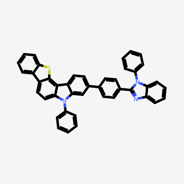 c1ccc(-n2c(-c3ccc(-c4ccc5c6c7sc8ccccc8c7ccc6n(-c6ccccc6)c5c4)cc3)nc3ccccc32)cc1